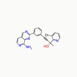 CCc1cccnc1C(C)(O)C#Cc1cccc(-c2ncc3ccnc(N)c3n2)c1